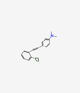 CN(C)c1ccc(C#Cc2ccccc2Cl)cc1